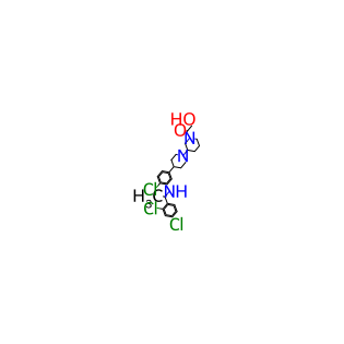 CC(Nc1cc(C2CCN(C3CCCN(C(=O)CO)C3)CC2)ccc1Cl)c1ccc(Cl)cc1Cl